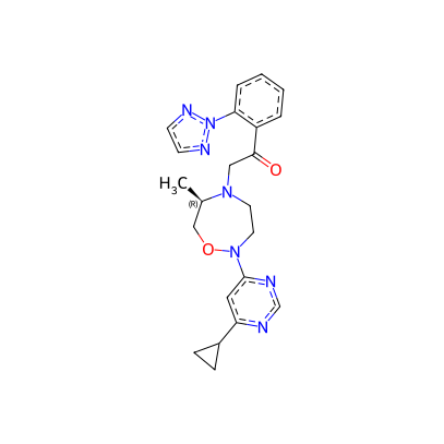 C[C@@H]1CON(c2cc(C3CC3)ncn2)CCN1CC(=O)c1ccccc1-n1nccn1